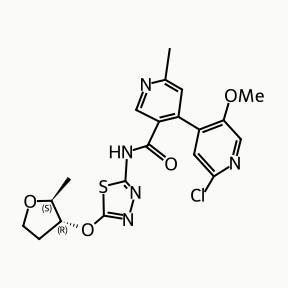 COc1cnc(Cl)cc1-c1cc(C)ncc1C(=O)Nc1nnc(O[C@@H]2CCO[C@H]2C)s1